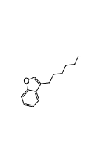 [CH2]CCCCCc1coc2ccccc12